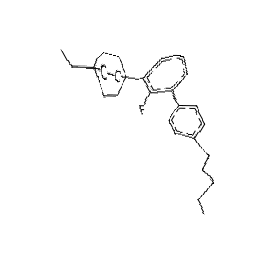 CCCCCc1ccc(-c2cccc(C34CCC(CC)(CC3)CC4)c2F)cc1